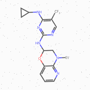 CCN1CC(Nc2ncc(C(F)(F)F)c(NC3CC3)n2)Oc2cccnc21